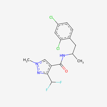 CC(Cc1ccc(Cl)cc1Cl)NC(=O)c1cn(C)nc1C(F)F